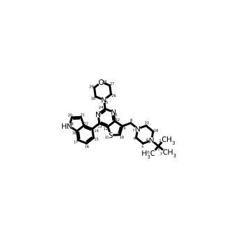 CC(C)(C)N1CCN(Cc2csc3c(-c4cccc5[nH]ccc45)nc(N4CCOCC4)nc23)CC1